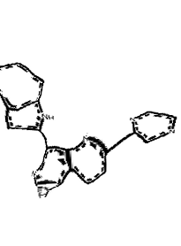 c1ccc2[nH]c(-c3n[nH]c4ccc(-c5cnccn5)nc34)cc2c1